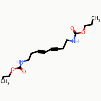 CCCOC(=O)NCCC#CC#CCCNC(=O)OCCC